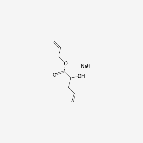 C=CCOC(=O)C(O)CC=C.[NaH]